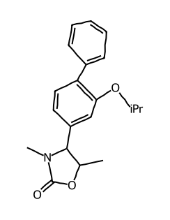 CC(C)Oc1cc(C2C(C)OC(=O)N2C)ccc1-c1ccccc1